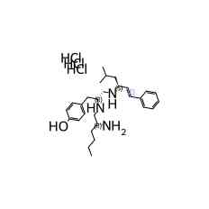 CCCC[C@@H](N)CN[C@@H](CN[C@H](/C=C/c1ccccc1)CC(C)C)Cc1ccc(O)cc1.Cl.Cl.Cl